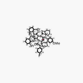 COc1ccc(N2C(=O)N(C(C(=O)Nc3c(C(C)C)cccc3C(C)C)C(C(=O)Nc3c(C(C)C)cccc3C(C)C)N3C(=O)N(c4ccc(F)cc4)C4(CCCCC4)C3=O)C(=O)C23CCCCC3)cc1